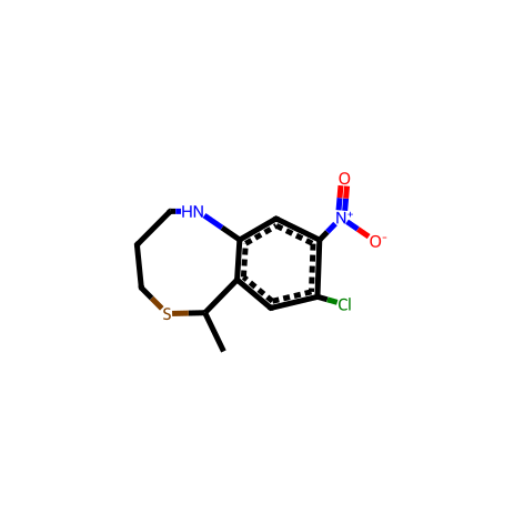 CC1SCCCNc2cc([N+](=O)[O-])c(Cl)cc21